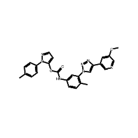 COc1cncc(-c2cn(-c3cc(NC(=O)Oc4ccnn4-c4ccc(C)cc4)ccc3C)nn2)c1